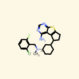 CN(Cc1c(F)cccc1Cl)[C@H]1CCCC(C2CCc3sc4ncnc(N)c4c32)C1